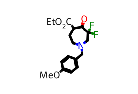 CCOC(=O)C1CCN(Cc2ccc(OC)cc2)CC(F)(F)C1=O